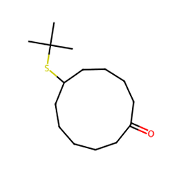 CC(C)(C)SC1CCCCCC(=O)CCCC1